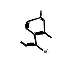 C/C=C(/S)c1ccc(C)cc1C